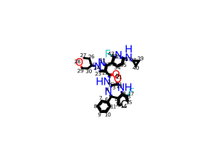 O=C(N[C@H]1N=C(c2ccccc2)c2cccc(F)c2NC1=O)c1cn(C2CCOCC2)nc1-c1ccc(NC2CC2)nc1F